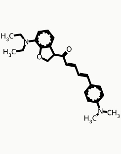 CCN(CC)c1cccc2c1OCC2C(=O)C=CC=Cc1ccc(N(C)C)cc1